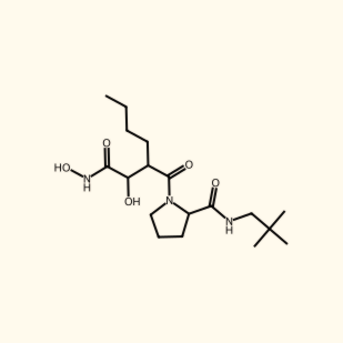 CCCCC(C(=O)N1CCCC1C(=O)NCC(C)(C)C)C(O)C(=O)NO